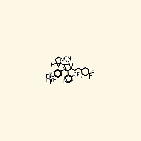 N#CN1CC[C@H]2C[C@]21C(=O)N(c1ccc(S(F)(F)(F)(F)F)cc1)C(C(=O)CCC1CCC(F)(F)CC1)c1cnccc1C(F)(F)F